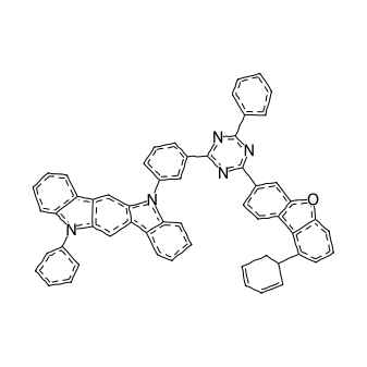 C1=CCC(c2cccc3oc4cc(-c5nc(-c6ccccc6)nc(-c6cccc(-n7c8ccccc8c8cc9c(cc87)c7ccccc7n9-c7ccccc7)c6)n5)ccc4c23)C=C1